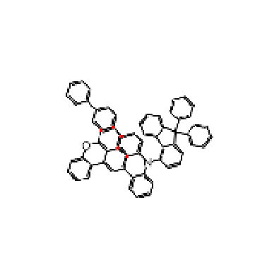 c1ccc(-c2ccc(-c3ccc(N(c4ccccc4-c4cc5c6c(cccc6c4)Oc4ccccc4-5)c4cccc5c4-c4ccccc4C5(c4ccccc4)c4ccccc4)cc3)cc2)cc1